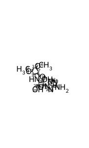 COc1cc(OC)cc(C(=O)NC2C(O)[C@H](n3cnc4c(N)ncnc43)O[C@@H]2CO)c1